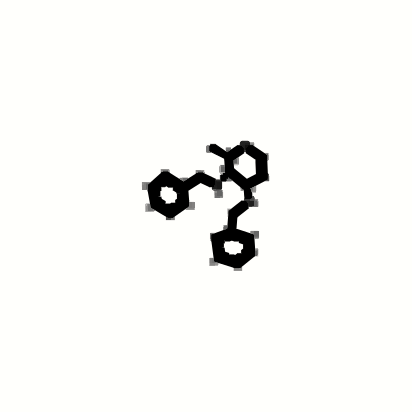 C[C@H]1OC=C[C@@H](OCc2ccccc2)[C@@H]1OCc1ccccc1